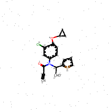 C#CC(=O)N(c1ccc(OC2CC2)c(Cl)c1)C(C=O)c1cccs1